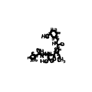 CCc1cc(C(=O)NCc2cccc(O)c2)sc1C(=O)NC(CNC(=O)c1cccs1)C(=O)O